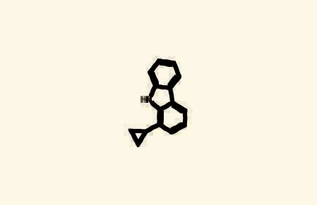 c1ccc2c(c1)[nH]c1c(C3CC3)cccc12